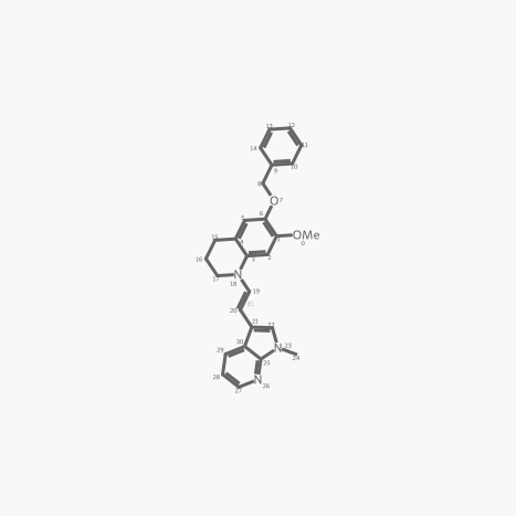 COc1cc2c(cc1OCc1ccccc1)CCCN2/C=C/c1cn(C)c2ncccc12